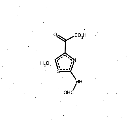 O.O=CNc1nc(C(=O)C(=O)O)cs1